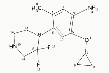 Cc1cc(N)c(OC2CC2)cc1C1CCNCC1(F)F